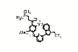 COc1cc(N(C)CCN(C)C)c([N+](=O)[O-])cc1Nc1nccc(-c2cn(CC(F)(F)F)c3ccccc23)n1